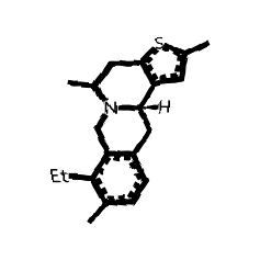 CCc1c(C)ccc2c1CN1C(C)Cc3sc(C)cc3[C@@H]1C2